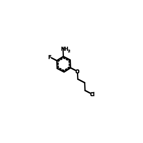 Nc1cc(OCCCCl)ccc1F